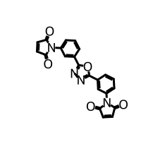 O=C1C=CC(=O)N1c1cccc(-c2nnc(-c3cccc(N4C(=O)C=CC4=O)c3)o2)c1